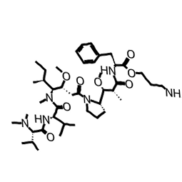 CC[C@H](C)[C@@H]([C@@H](CC(=O)N1CCC[C@H]1[C@H](OC)[C@@H](C)C(=O)N[C@@H](Cc1ccccc1)C(=O)OCCCN)OC)N(C)C(=O)[C@@H](NC(=O)[C@H](C(C)C)N(C)C)C(C)C